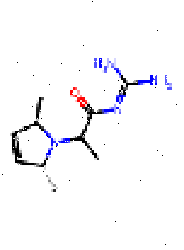 CC(C(=O)N=C(N)N)N1[C@H](C)C=C[C@H]1C